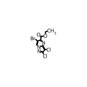 CCOC(=O)c1nc2c(Cl)c(Cl)nn2cc1Br